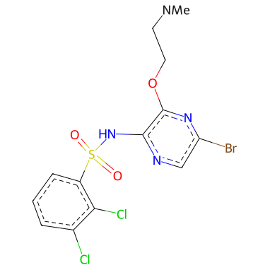 CNCCOc1nc(Br)cnc1NS(=O)(=O)c1cccc(Cl)c1Cl